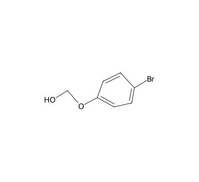 OCOc1ccc(Br)cc1